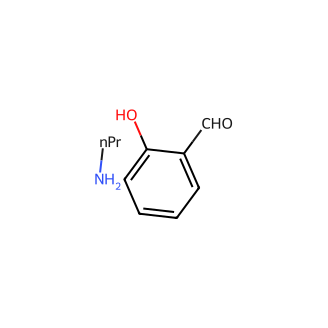 O=Cc1ccccc1O.[CH2]CCN